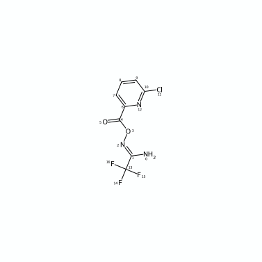 NC(=NOC(=O)c1cccc(Cl)n1)C(F)(F)F